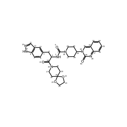 O=C(NC(Cc1ccc2[nH]ncc2c1)C(=O)N1CCC2(CC1)OCCO2)N1CCC(n2cc3ccccc3nc2=O)CC1